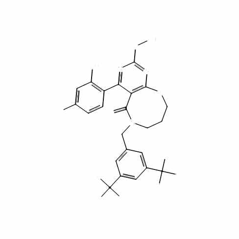 CSc1nc2c(c(-c3ccc(F)cc3C)n1)C(=O)N(Cc1cc(C(F)(F)F)cc(C(F)(F)F)c1)CCCO2